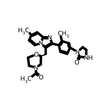 CC(=O)N1CCO[C@@H](Cc2c(-c3ccc(N4CCNC4=O)cc3C)nc3cc(C)ccn23)C1